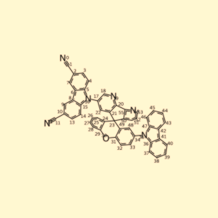 N#Cc1ccc2c(c1)c1cc(C#N)ccc1n2-c1cnc2c(c1)C1(c3ccccc3Oc3ccc(-n4c5ccccc5c5ccccc54)cc31)c1cccnc1-2